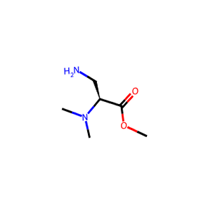 COC(=O)[C@H](CN)N(C)C